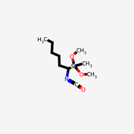 CCCCCC(N=C=O)[Si](C)(OC)OC